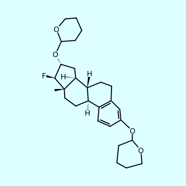 C[C@]12CC[C@@H]3c4ccc(OC5CCCCO5)cc4CC[C@H]3[C@@H]1C[C@@H](OC1CCCCO1)[C@@H]2F